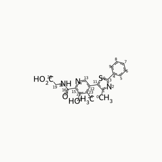 Cc1nc(-c2ccccc2)sc1-c1cnc(C(=O)NCC(=O)O)c(O)c1C